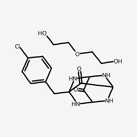 O=C1C2NC3NC1NC(Cc1ccc(Cl)cc1)(N2)C3=O.OCCOCCO